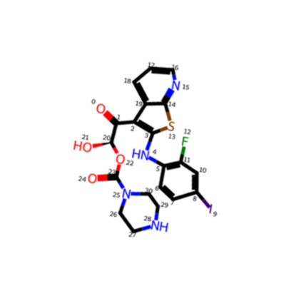 O=C(c1c(Nc2ccc(I)cc2F)sc2ncccc12)[C@H](O)OC(=O)N1CCNCC1